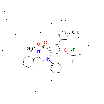 Cc1csc(-c2cc3c(cc2OCC(F)(F)F)N(c2ccccc2)C[C@@H](C2CCCCC2)N(C)S3(=O)=O)c1